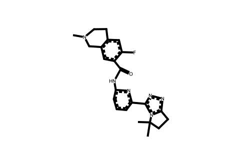 CN1CCc2cc(F)c(C(=O)Nc3cccc(-c4nnc5n4C(C)(C)CC5)n3)cc2C1